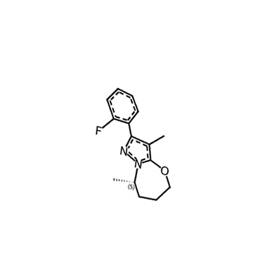 Cc1c(-c2ccccc2F)nn2c1OCCC[C@@H]2C